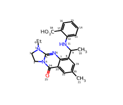 CCN1CCn2c1nc1c(C(C)Nc3ccccc3C(=O)O)cc(C)cc1c2=O